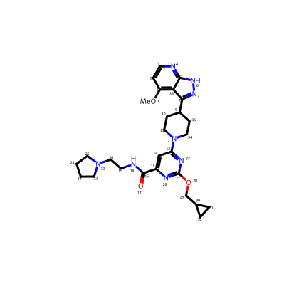 COc1ccnc2[nH]nc(C3CCN(c4cc(C(=O)NCCN5CCCC5)nc(OCC5CC5)n4)CC3)c12